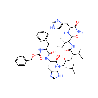 CC[C@H](C)[C@H](NC(=O)[C@@H](C[C@H](O)[C@H](CC(C)C)NC(=O)[C@H](Cc1c[nH]cn1)NC(=O)[C@H](Cc1ccccc1)NC(=O)OCc1ccccc1)C(C)C)C(=O)N[C@@H](Cc1c[nH]cn1)C(N)=O